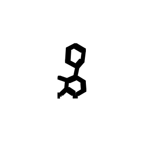 Cc1c(-c2ccccc2)ccnc1F